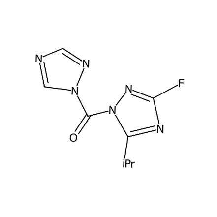 CC(C)c1nc(F)nn1C(=O)n1cncn1